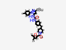 Cc1ccc(-n2nc(C(C)(C)C)cc2NC(=O)Nc2ccc(CC3CCN(C(=O)c4cc(C)c(C)o4)CC3)cc2)cc1